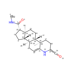 CC(C)(C)NC(=O)[C@H]1CC[C@H]2[C@@H]3CC=C4NC(=C=O)CC[C@]4(C)[C@H]3CC[C@]12C